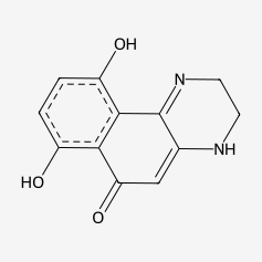 O=C1C=C2NCCN=C2c2c(O)ccc(O)c21